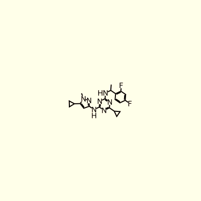 CC(Nc1nc(Nc2cc(C3CC3)n(C)n2)nc(C2CC2)n1)c1ccc(F)cc1F